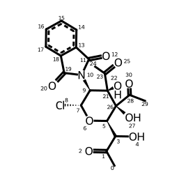 CC(=O)C(O)[C@H]1O[C@H](Cl)[C@@H](N2C(=O)c3ccccc3C2=O)[C@](O)(C(C)=O)[C@]1(O)C(C)=O